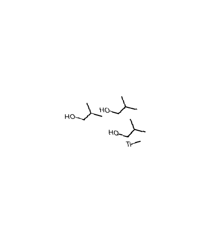 CC(C)CO.CC(C)CO.CC(C)CO.[CH3][Ti]